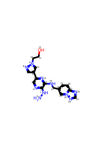 NNc1ncc(-c2cnn(CCO)c2)nc1NCc1ccc2ncnn2c1